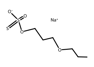 CCCOCCCOS(=O)([O-])=S.[Na+]